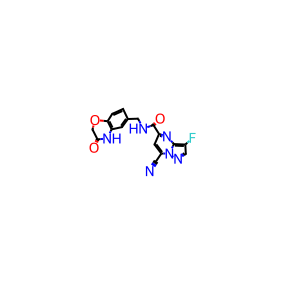 N#Cc1cc(C(=O)NCc2ccc3c(c2)NC(=O)CO3)nc2c(F)cnn12